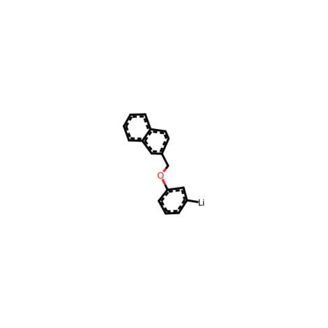 [Li][c]1cccc(OCc2ccc3ccccc3c2)c1